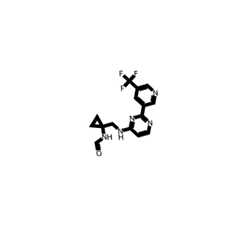 O=CNC1(CNc2ccnc(-c3cncc(C(F)(F)F)c3)n2)CC1